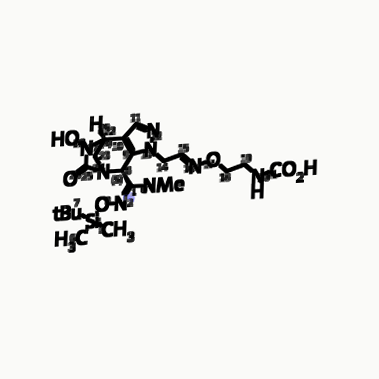 CN/C(=N/O[Si](C)(C)C(C)(C)C)[C@@H]1c2c(cnn2CC=NOCCNC(=O)O)[C@@H]2CN1C(=O)N2O